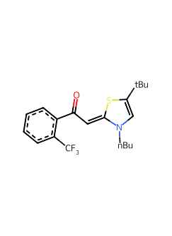 CCCCN1C=C(C(C)(C)C)SC1=CC(=O)c1ccccc1C(F)(F)F